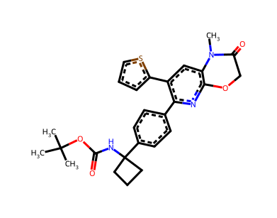 CN1C(=O)COc2nc(-c3ccc(C4(NC(=O)OC(C)(C)C)CCC4)cc3)c(-c3cccs3)cc21